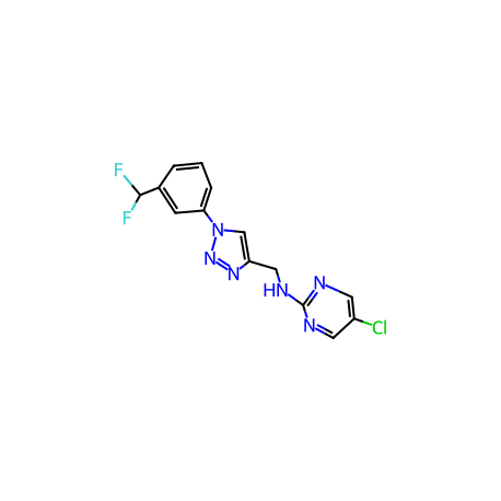 FC(F)c1cccc(-n2cc(CNc3ncc(Cl)cn3)nn2)c1